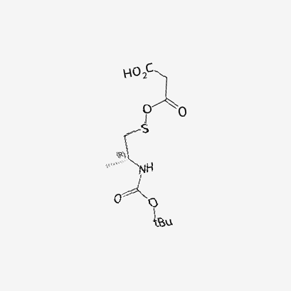 C[C@H](CSOC(=O)CC(=O)O)NC(=O)OC(C)(C)C